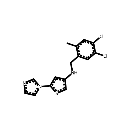 Cc1cc(Cl)c(Cl)cc1CNc1csc(-n2ccnc2)c1